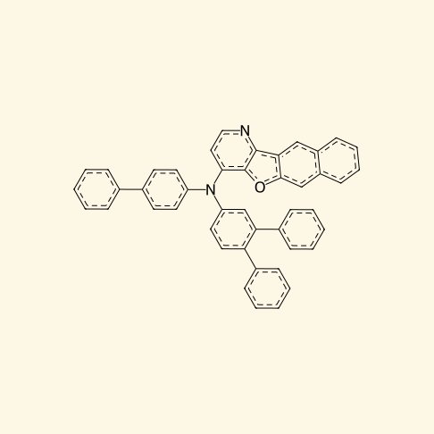 c1ccc(-c2ccc(N(c3ccc(-c4ccccc4)c(-c4ccccc4)c3)c3ccnc4c3oc3cc5ccccc5cc34)cc2)cc1